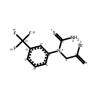 C=C(Br)CN(C(N)=S)c1cccc(C(F)(F)F)c1